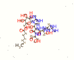 CCCCCCC(=O)OCC1OC(N2C(=N)NCC2C(O)C(NC(=O)C(CO)NC2CNC(=N)N2)C(=O)NC([C]=O)CO)C(O)C(O)C1O